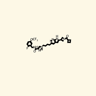 O=C(NCc1cc(OC(F)(F)F)ccc1F)c1cn(CCCCc2cc3cc(C4CN(C(=O)C5CCC5)C4)[nH]c3nn2)nn1